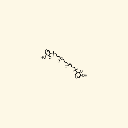 CC(C)(CCC[S+]([O-])CCC[S+]([O-])CCCC(C)(C)c1cocc(O)c1=O)c1cocc(O)c1=O